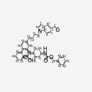 O=Cc1ccc2c(ccn2CC/C=C/c2ccc(-c3ccccc3)c(N(C(=O)O)C3CCC(NC(=O)OCc4ccccc4)CC3)c2)c1